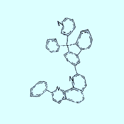 c1ccc(-c2ccc3ccc4ccc(-c5ccc6c(c5)-c5ccccc5C6(c5ccccc5)c5cccnc5)nc4c3n2)cc1